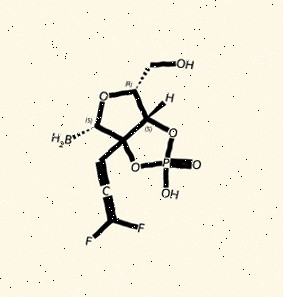 B[C@@H]1O[C@H](CO)[C@@H]2OP(=O)(O)OC12C=C=C(F)F